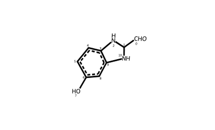 O=CC1Nc2ccc(O)cc2N1